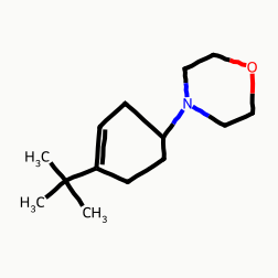 CC(C)(C)C1=CCC(N2CCOCC2)CC1